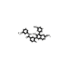 Cc1ccc(C(=O)Nc2cccc(C(F)(F)F)c2)cc1-c1cc2cnc(N)nc2c(-c2cccc(C#N)c2)c1O